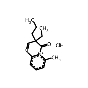 CCCC1(CC)C=Nc2cccc(C)[n+]2C1=O.Cl